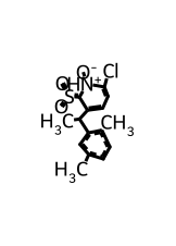 Cc1ccc(C)c(C(C)C2=CC=C(Cl)[NH+]([O-])C2=S(=O)=O)c1